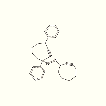 C1#CC(N=NC2(c3ccccc3)C#CC(c3ccccc3)CCCC2)CCCCC1